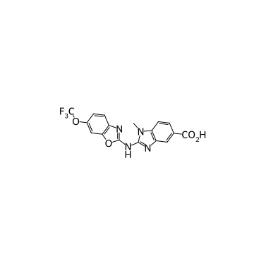 Cn1c(Nc2nc3ccc(OC(F)(F)F)cc3o2)nc2cc(C(=O)O)ccc21